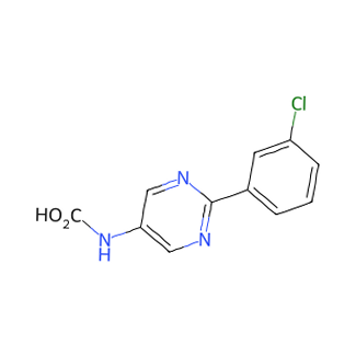 O=C(O)Nc1cnc(-c2cccc(Cl)c2)nc1